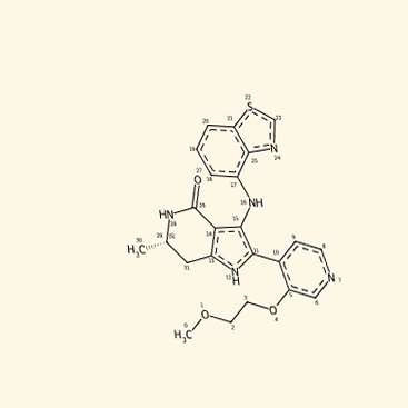 COCCOc1cnccc1-c1[nH]c2c(c1Nc1cccc3scnc13)C(=O)N[C@@H](C)C2